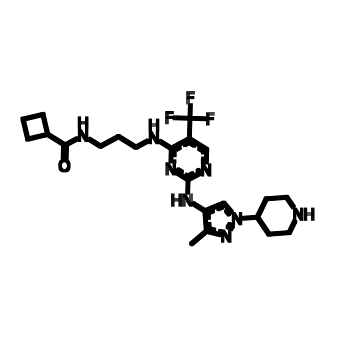 Cc1nn(C2CCNCC2)cc1Nc1ncc(C(F)(F)F)c(NCCCNC(=O)C2CCC2)n1